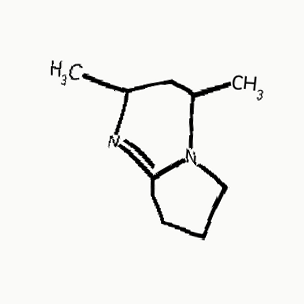 CC1CC(C)N2CCCC2=N1